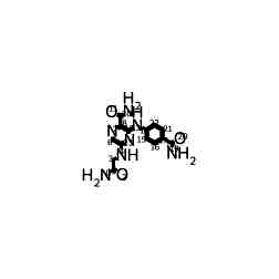 NC(=O)CNc1cnc(C(N)=O)c(Nc2ccc(C(N)=O)cc2)n1